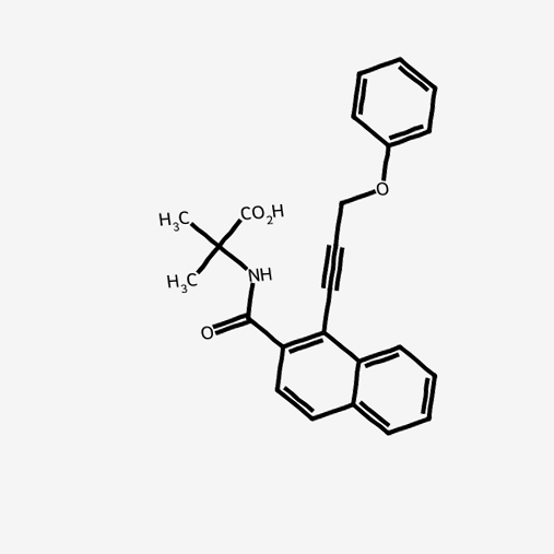 CC(C)(NC(=O)c1ccc2ccccc2c1C#CCOc1ccccc1)C(=O)O